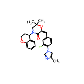 Cc1cn(-c2ccc(C=C3OC(C)(C)CN(C4CCOc5ccccc54)C3=O)cc2F)cn1